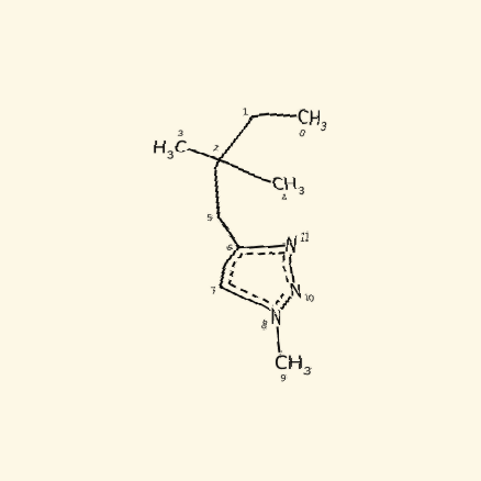 CCC(C)(C)Cc1cn(C)nn1